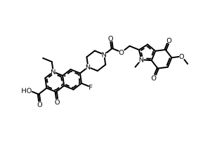 CCn1cc(C(=O)O)c(=O)c2cc(F)c(N3CCN(C(=O)OCc4cc5c(n4C)C(=O)C=C(OC)C5=O)CC3)cc21